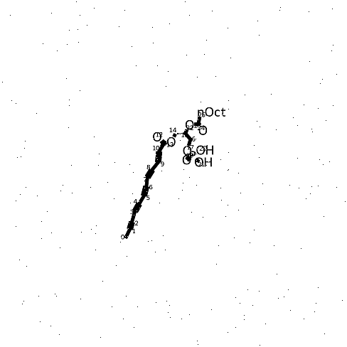 CC#CC#CC#CC#CC#CC(=O)OC[C@@H](COP(=O)(O)O)OC(=O)CCCCCCCC